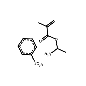 C=C(C)C(=O)OC(C)N.O=S(=O)(O)c1ccccc1